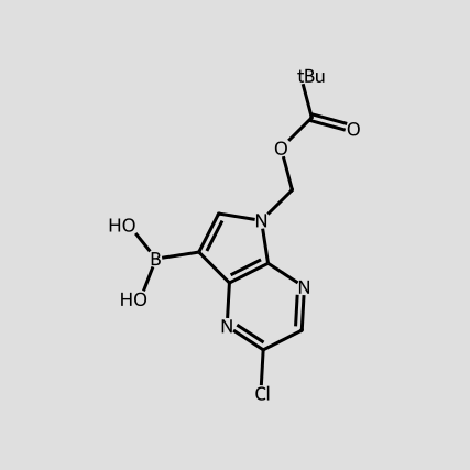 CC(C)(C)C(=O)OCn1cc(B(O)O)c2nc(Cl)cnc21